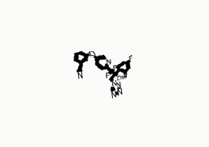 N#Cc1cccc(Oc2ccc(C(F)(F)C(O)(Cn3cnnn3)c3ccc(F)cc3F)nc2)c1